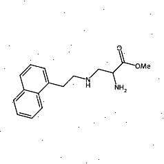 COC(=O)C(N)CNCCc1cccc2ccccc12